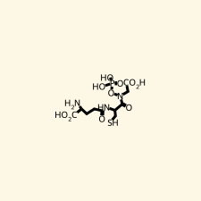 NC(CCC(=O)NC(CS)C(=O)N(CC(=O)O)OP(=O)(O)O)C(=O)O